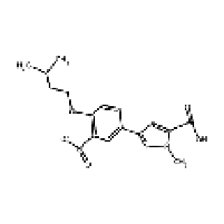 CC(C)CCOc1ccc(-c2cc(C(=O)O)n(C)n2)cc1[N+](=O)[O-]